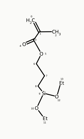 C=C(C)C(=O)OCCC[Si](OCC)OCC